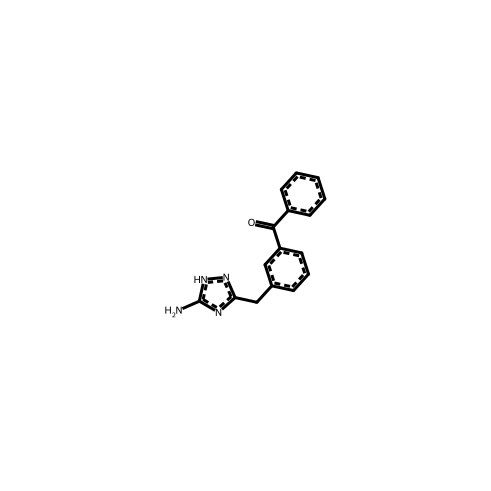 Nc1nc(Cc2cccc(C(=O)c3ccccc3)c2)n[nH]1